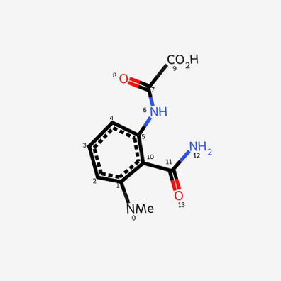 CNc1cccc(NC(=O)C(=O)O)c1C(N)=O